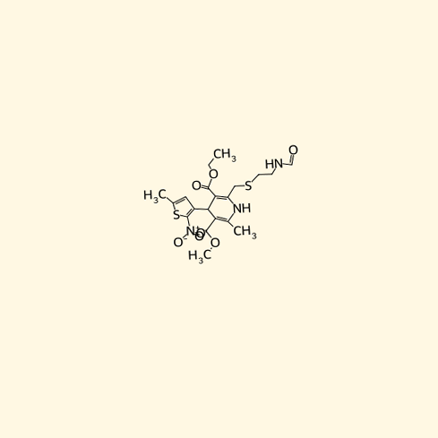 CCOC(=O)C1=C(CSCCNC=O)NC(C)=C(C(=O)OC)C1c1cc(C)sc1[N+](=O)[O-]